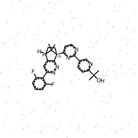 CC(C)(O)c1ccc(-c2nccc([C@@]34CC[C@@H](c5cc(-c6c(F)cccc6F)nnc53)C4(C)C)n2)cn1